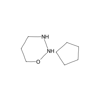 C1CCCC1.C1CNNOC1